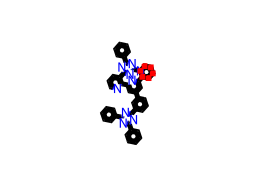 c1ccc(-c2nc(-c3ccccc3)nc(-c3cccc(-c4cc(-c5ccccn5)nc(-c5ncccc5-c5nc(-c6ccccc6)nc(-c6ccccc6)n5)c4)c3)n2)cc1